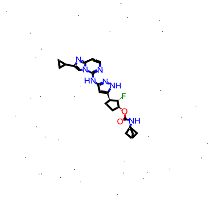 O=C(NC12CC(C1)C2)O[C@H]1CC[C@@H](c2cc(Nc3nccc4nc(C5CC5)cn34)n[nH]2)[C@@H]1F